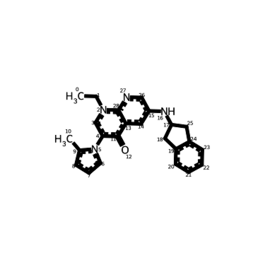 CCn1cc(-n2cccc2C)c(=O)c2cc(NC3Cc4ccccc4C3)cnc21